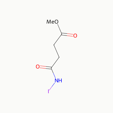 COC(=O)CCC(=O)NI